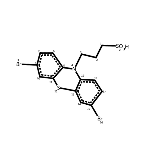 O=S(=O)(O)CCCN1c2ccc(Br)cc2Sc2cc(Br)ccc21